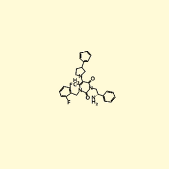 Cc1c(N2CCC(c3ccccc3)C2)c(=O)n(C[C@@H](N)c2ccccc2)c(=O)n1Cc1c(F)cccc1F